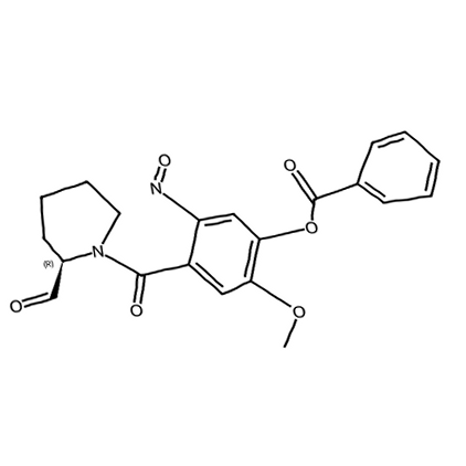 COc1cc(C(=O)N2CCCC[C@@H]2C=O)c(N=O)cc1OC(=O)c1ccccc1